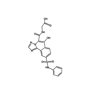 O=C(O)CNC(=O)c1c(O)c2ccc(S(=O)(=O)Nc3ccccc3)cc2c2ncnn12